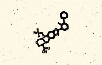 Cc1c(-c2ccccc2)cccc1-c1nc2cc(CN3CCOCC3C(=O)O)c(OCC(F)(F)F)cc2o1